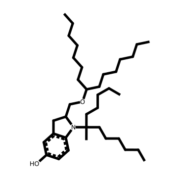 CCCCCCCC(CCCCCCC)OCC1Cc2cc(O)ccc2N1C(C)(CCCCC)CCCCCC